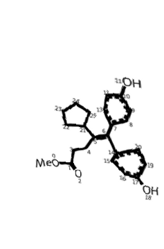 COC(=O)CCC(=C(c1ccc(O)cc1)c1ccc(O)cc1)C1CCCC1